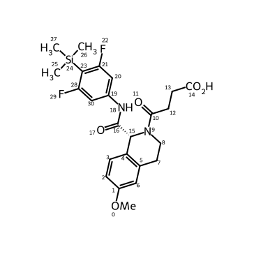 COc1ccc2c(c1)CCN(C(=O)CCC(=O)O)[C@H]2C(=O)Nc1cc(F)c([Si](C)(C)C)c(F)c1